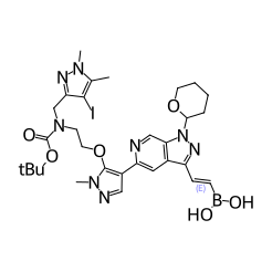 Cc1c(I)c(CN(CCOc2c(-c3cc4c(/C=C/B(O)O)nn(C5CCCCO5)c4cn3)cnn2C)C(=O)OC(C)(C)C)nn1C